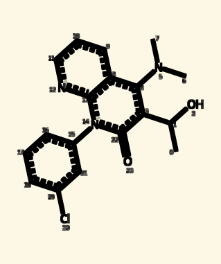 CC(O)c1c(N(C)C)c2cccnc2n(-c2cccc(Cl)c2)c1=O